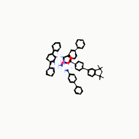 CC1(C)CC(C)(C)c2cc(-c3ccc(-c4ccc(-n5c6ccccc6c6ccc7c8ccccc8n(-c8nc(-c9ccc(-c%10ccccc%10)cc9)nc(-c9ccc(-c%10ccccc%10)cc9)n8)c7c65)cc4)cc3)ccc21